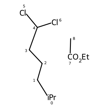 CC(C)CCCC(Cl)Cl.CCOC(C)=O